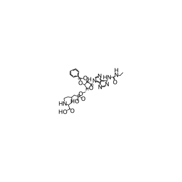 CCNC(=O)Nc1ncnc2c1ncn2[C@@H]1O[C@H](COP(=O)(O)CC2CCNC(C(=O)O)C2)C2O[C@@H](c3ccccc3)O[C@@H]21